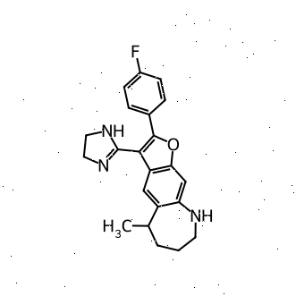 CC1CCCNc2cc3oc(-c4ccc(F)cc4)c(C4=NCCN4)c3cc21